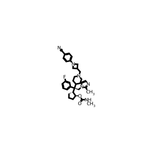 CNC(=O)O[C@H]1CCC[C@@H]1[C@](Cn1ccnc1C)(c1cccc(F)c1)C1CCN(CC2CN(c3ccc(C#N)cc3)C2)CC1